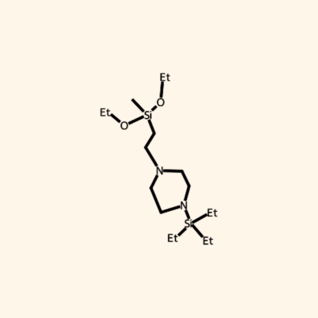 CCO[Si](C)(CCN1CCN([Si](CC)(CC)CC)CC1)OCC